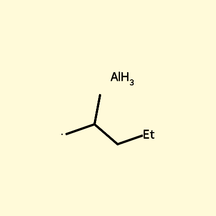 [AlH3].[CH2]C(C)CCC